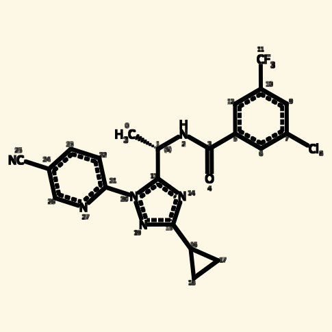 C[C@H](NC(=O)c1cc(Cl)cc(C(F)(F)F)c1)c1nc(C2CC2)nn1-c1ccc(C#N)cn1